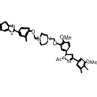 COc1ccc(C2CC(c3cc(C)c(C)c(OC)c3)=NN2C(C)=O)cc1OCN1CCN(COc2ccc(-c3nc4ccccc4s3)cc2C)CC1